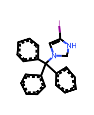 IC1=CN(C(c2ccccc2)(c2ccccc2)c2ccccc2)CN1